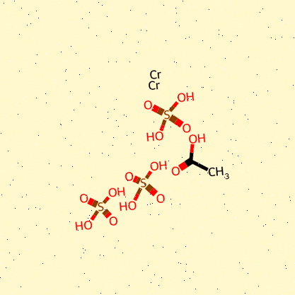 CC(=O)O.O=S(=O)(O)O.O=S(=O)(O)O.O=S(=O)(O)O.[Cr].[Cr]